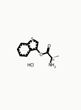 C[C@H](N)C(=O)Oc1csc2ccccc12.Cl